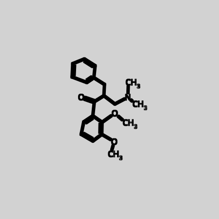 COc1cccc(C(=O)C(Cc2ccccc2)CN(C)C)c1OC